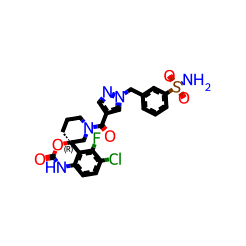 NS(=O)(=O)c1cccc(Cn2cc(C(=O)N3CCC[C@@]4(C3)OC(=O)Nc3ccc(Cl)c(F)c34)cn2)c1